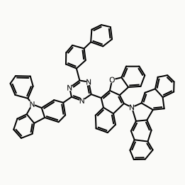 c1ccc(-c2cccc(-c3nc(-c4ccc5c6ccccc6n(-c6ccccc6)c5c4)nc(-c4c5ccccc5c(-n5c6cc7ccccc7cc6c6cc7ccccc7cc65)c5c4oc4ccccc45)n3)c2)cc1